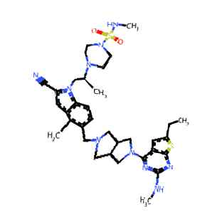 CCc1cc2c(N3CC4CN(Cc5ccc6c(cc(C#N)n6C[C@H](C)N6CCN(S(=O)(=O)NC)CC6)c5C)CC4C3)nc(NC)nc2s1